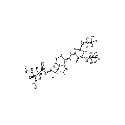 C=C1/C(=C\C=C2/CCC[C@@]3(C)C2CC[C@@H]3[C@H](C)/C=C/C(=O)C(C)(C)P(=O)(OCC)OCC)C[C@@H](O[Si](C)(C)C(C)(C)C)C[C@@H]1O[Si](C)(C)C(C)(C)C